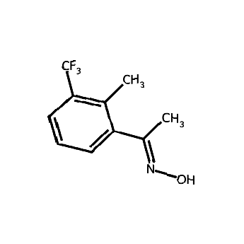 C/C(=N\O)c1cccc(C(F)(F)F)c1C